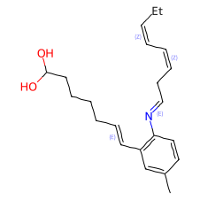 CC/C=C\C=C/C/C=N/c1ccc(C)cc1/C=C/CCCCC(O)O